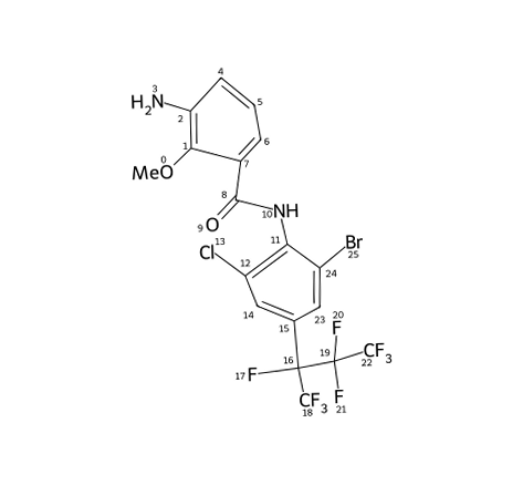 COc1c(N)cccc1C(=O)Nc1c(Cl)cc(C(F)(C(F)(F)F)C(F)(F)C(F)(F)F)cc1Br